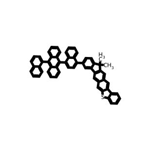 CC1(C)c2ccc(-c3ccc(-c4c5ccccc5c(-c5cccc6ccccc56)c5ccccc45)c4ccccc34)cc2-c2cc3cc4sc5ccccc5c4cc3cc21